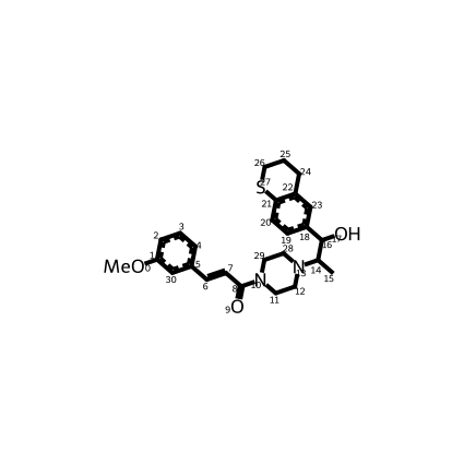 COc1cccc(/C=C/C(=O)N2CCN(C(C)C(O)c3ccc4c(c3)CCCS4)CC2)c1